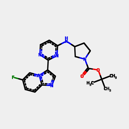 CC(C)(C)OC(=O)N1CCC(Nc2ccnc(-c3cnc4ccc(F)cn34)n2)C1